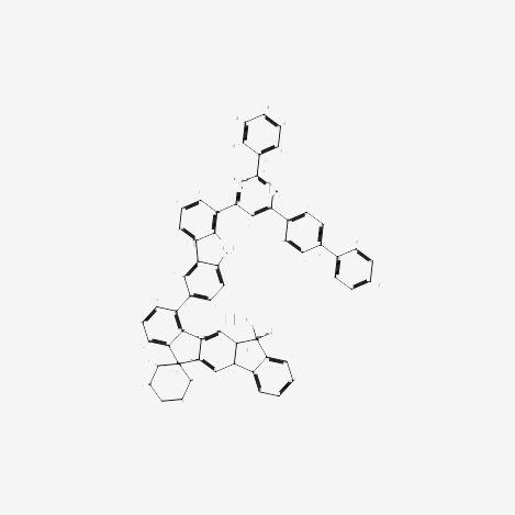 CC1(C)c2ccccc2C2C=C3C(=CC21)c1c(-c2ccc4oc5c(-c6cc(-c7ccc(-c8ccccc8)cc7)nc(-c7ccccc7)n6)cccc5c4c2)cccc1C31CCCCC1